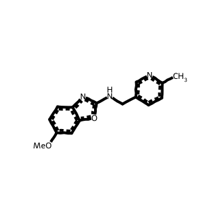 COc1ccc2nc(NCc3ccc(C)nc3)oc2c1